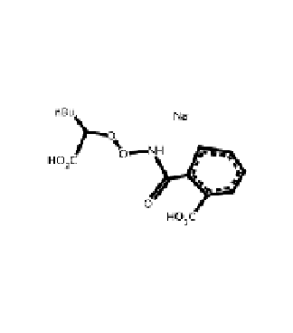 CCCCC(OONC(=O)c1ccccc1C(=O)O)C(=O)O.[Na]